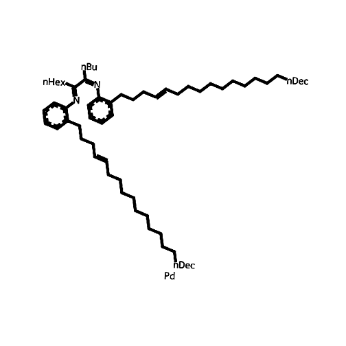 CCCCCCCCCCCCCCCCCCCCC=CCCCc1ccccc1N=C(CCCC)C(CCCCCC)=Nc1ccccc1CCCC=CCCCCCCCCCCCCCCCCCCCC.[Pd]